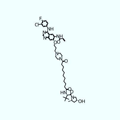 C=CC(=O)Nc1cc2c(Nc3ccc(F)c(Cl)c3)ncnc2cc1OCCCN1CCN(C(=O)CCCCCCCCCC(=O)N[C@H](C(=O)N2C[C@H](O)C[C@H]2C)C(C)(C)C)CC1